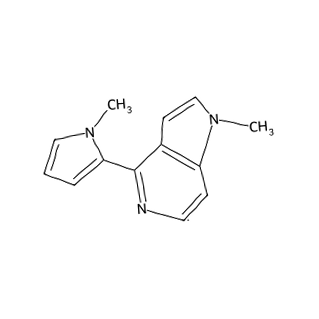 Cn1cccc1-c1n[c]cc2c1ccn2C